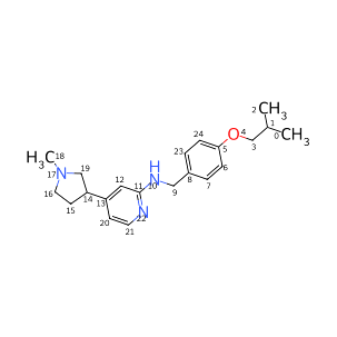 CC(C)COc1ccc(CNc2cc(C3CCN(C)C3)ccn2)cc1